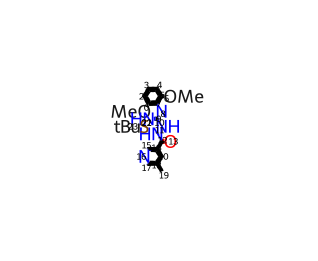 COc1cccc(OC)c1/N=C(/NNC(=O)c1cncc(C)c1)NSC(C)(C)C